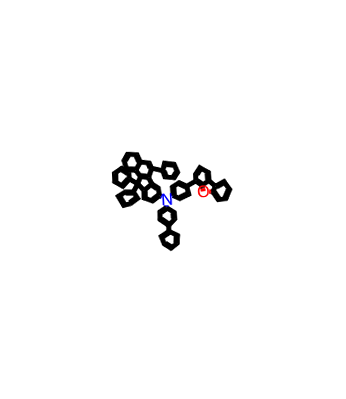 c1ccc(-c2ccc(N(c3ccc(-c4cccc5c4oc4ccccc45)cc3)c3ccc4c(c3)-c3c(-c5ccccc5)cc5ccccc5c3C4(c3ccccc3)c3ccccc3)cc2)cc1